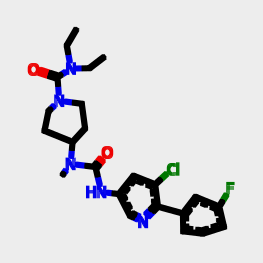 CCN(CC)C(=O)N1CCC(N(C)C(=O)Nc2cnc(-c3cccc(F)c3)c(Cl)c2)CC1